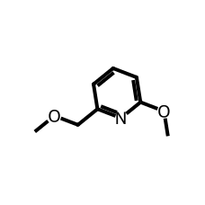 COCc1cccc(OC)n1